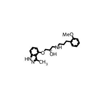 COc1ccccc1CCCNC[C@H](O)COc1cccc2[nH]nc(C)c12